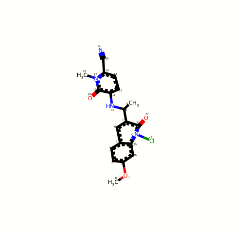 COc1ccc2cc(C(C)Nc3ccc(C#N)n(C)c3=O)c(=O)n(Cl)c2c1